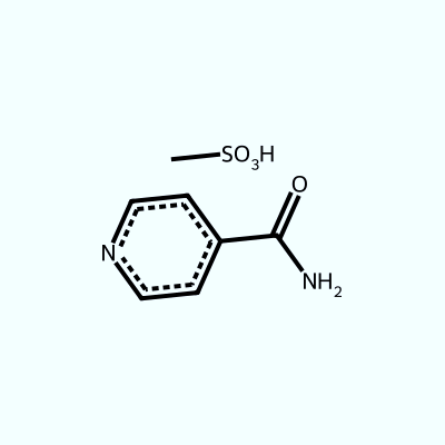 CS(=O)(=O)O.NC(=O)c1ccncc1